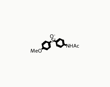 COc1ccc([S+]([O-])c2ccc(NC(C)=O)cc2)cc1